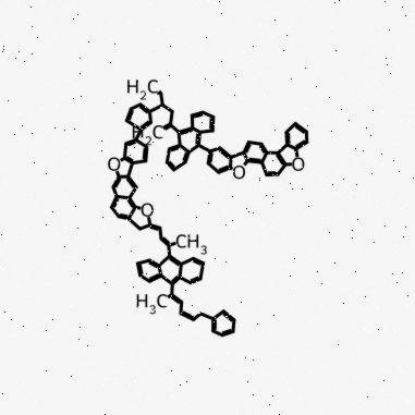 C=CC(CC(=C)c1c2ccccc2c(-c2ccc3oc4c(ccc5c4ccc4oc6ccccc6c45)c3c2)c2ccccc12)c1cccc(-c2ccc3c(c2)oc2cc4ccc5c(c4cc23)O/C(=C/C=C(\C)c2c3ccccc3c(/C(C)=C/C=C\Cc3ccccc3)c3ccccc23)C5)c1